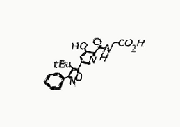 CC(C)(C)c1c(-c2ccccc2)noc1-c1cnc(C(=O)NCC(=O)O)c(O)c1